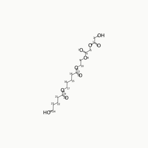 O=C(CO)OCC(=O)OCCOC(=O)CCCCOC(=O)CCCCO